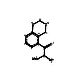 CCCC(NC)C(=O)c1cccc2c1COCO2